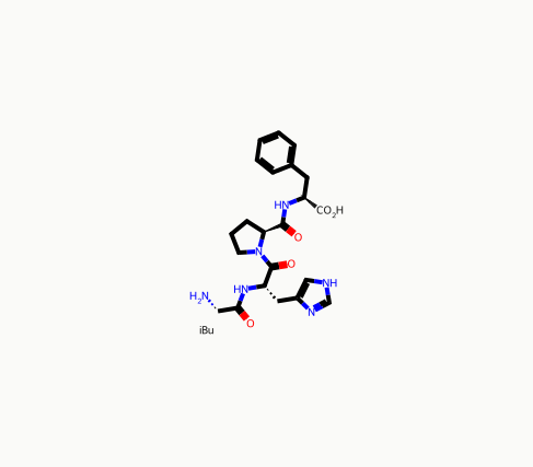 CC[C@H](C)[C@H](N)C(=O)N[C@@H](Cc1c[nH]cn1)C(=O)N1CCC[C@H]1C(=O)N[C@@H](Cc1ccccc1)C(=O)O